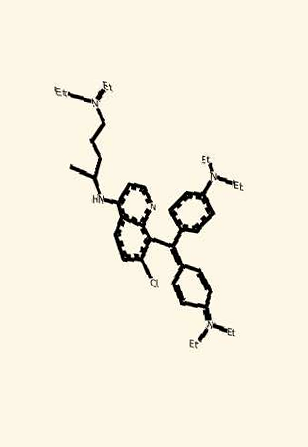 CCN(CC)CCCC(C)Nc1ccnc2c(C(=C3C=CC(=[N+](CC)CC)C=C3)c3ccc(N(CC)CC)cc3)c(Cl)ccc12